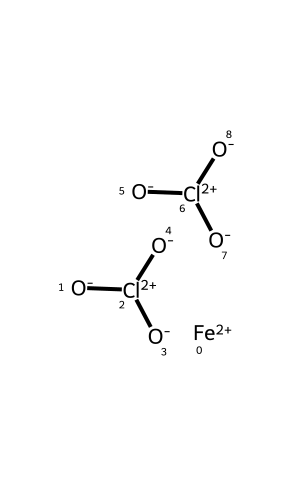 [Fe+2].[O-][Cl+2]([O-])[O-].[O-][Cl+2]([O-])[O-]